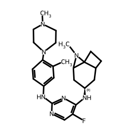 Cc1cc(Nc2ncc(F)c(N[C@@H]3CC4CCC45C(C3)N5C)n2)ccc1N1CCN(C)CC1